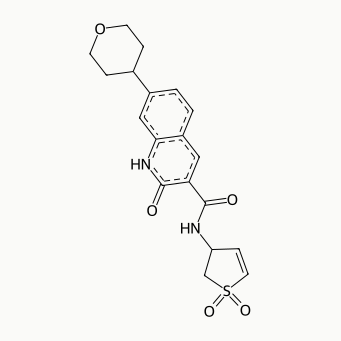 O=C(NC1C=CS(=O)(=O)C1)c1cc2ccc(C3CCOCC3)cc2[nH]c1=O